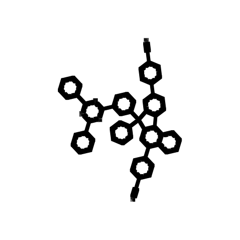 N#Cc1ccc(-c2ccc3c(c2)C(c2ccccc2)(c2cccc(-c4nc(-c5ccccc5)nc(-c5ccccc5)n4)c2)c2cc(-c4ccc(C#N)cc4)c4ccccc4c2-3)cc1